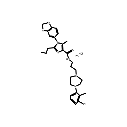 CCCc1nc(C(=O)NCCCN2CCN(c3cccc(Cl)c3C)CC2)c(C)n1-c1ccc2c(c1)OCO2.Cl.Cl